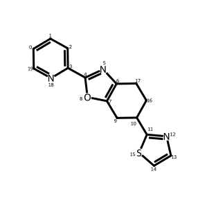 c1ccc(-c2nc3c(o2)CC(c2nccs2)CC3)nc1